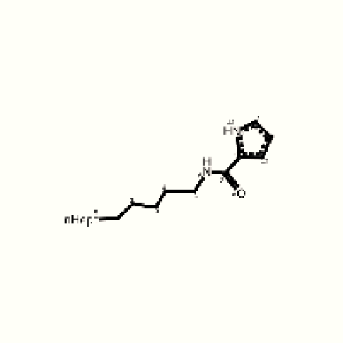 CCCCCCCCCCCCNC(=O)c1ccc[nH]1